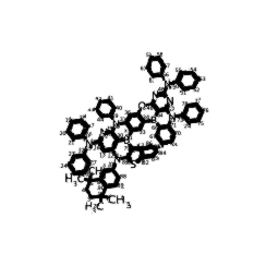 CC1(C)CCC(C)(C)c2cc(N3c4cc(N(c5ccccc5)c5ccccc5)nc5c4B(c4cc6c(cc4N5c4ccccc4)Oc4nc(N(c5ccccc5)c5ccccc5)nc5c4B6c4ccccc4N5c4ccccc4)c4c3sc3ccccc43)ccc21